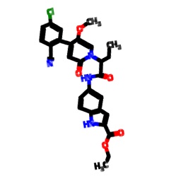 CCOC(=O)c1cc2cc(NC(=O)C(CC)n3cc(OC)c(-c4cc(Cl)ccc4C#N)cc3=O)ccc2[nH]1